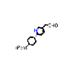 CCCCC[C@H]1CC[C@H](c2ccc(CC=O)cn2)CC1